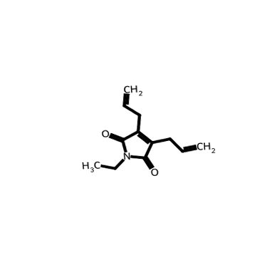 C=CCC1=C(CC=C)C(=O)N(CC)C1=O